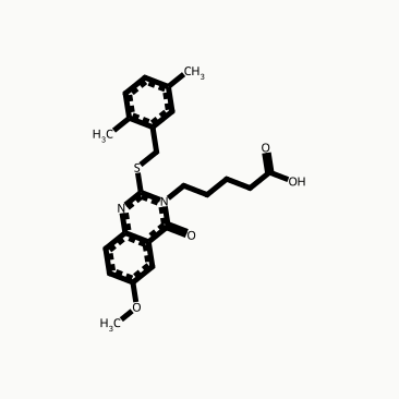 COc1ccc2nc(SCc3cc(C)ccc3C)n(CCCCC(=O)O)c(=O)c2c1